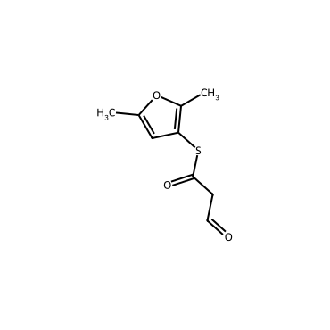 Cc1cc(SC(=O)CC=O)c(C)o1